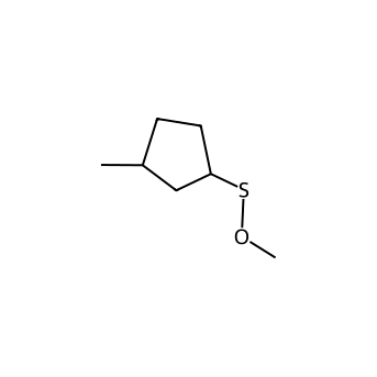 COSC1CCC(C)C1